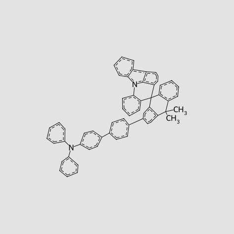 CC1(C)c2ccccc2C2(c3ccccc3-n3c4ccccc4c4cccc2c43)c2cc(-c3ccc(-c4ccc(N(c5ccccc5)c5ccccc5)cc4)cc3)ccc21